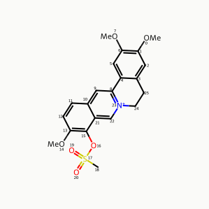 COc1cc2c(cc1OC)-c1cc3ccc(OC)c(OS(C)(=O)=O)c3c[n+]1CC2